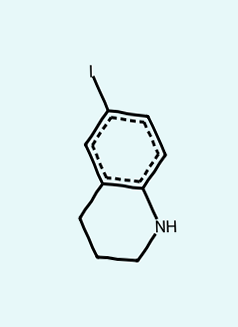 Ic1ccc2c(c1)CCCN2